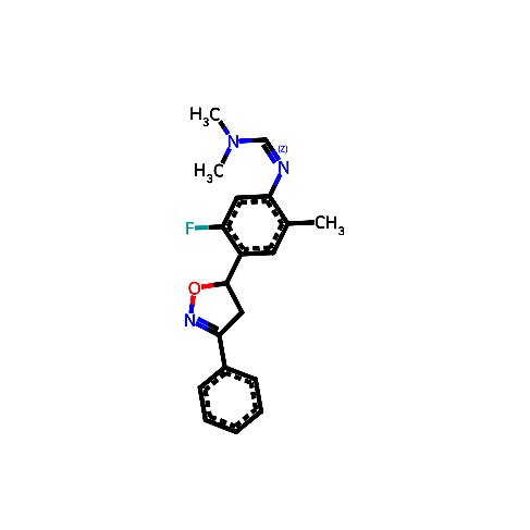 Cc1cc(C2CC(c3ccccc3)=NO2)c(F)cc1/N=C\N(C)C